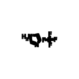 C1=C[NH2+]C=N1.F[B-](F)(F)F